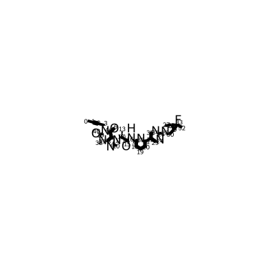 CC#CCn1c(=O)c2c(ncn2[C@@H](C)C(=O)Nc2cccc(-c3cnc(N4CC5C(C4)C5(C)F)nc3)n2)n(C)c1=O